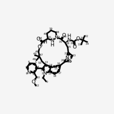 CCn1c(-c2cccnc2COC)c2c3cc(ccc31)-c1nc(cs1)C[C@H](NC(=O)OC(C)(C)C)C(=O)N1CCC[C@H](N1)C(=O)OCC(C)(C)C2